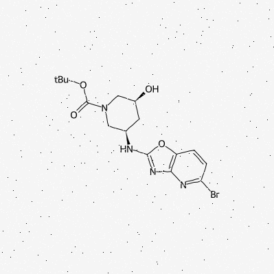 CC(C)(C)OC(=O)N1C[C@@H](O)C[C@@H](Nc2nc3nc(Br)ccc3o2)C1